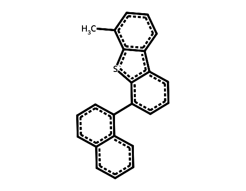 Cc1cccc2c1sc1c(-c3cccc4ccccc34)cccc12